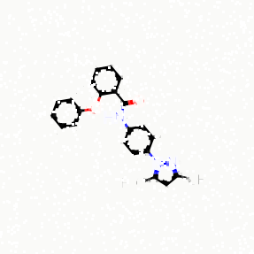 O=C(Nc1ccc(-n2nc(C(F)(F)F)cc2C(F)(F)F)cc1)c1ccccc1Oc1ccccc1